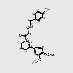 CCOc1cc(C2=NN(C(=O)CO/N=C/c3ccc(O)cc3)CCC2)ccc1OC